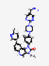 Cc1ccc(-c2ccc3ncc4c(c3c2)n(-c2ccc(N3CCN(c5ncc(CN)cn5)CC3)c(C(F)(F)F)c2)c(=O)n4C)cn1